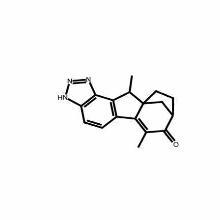 CC1=C2c3ccc4[nH]nnc4c3C(C)C23CCC(C3)C1=O